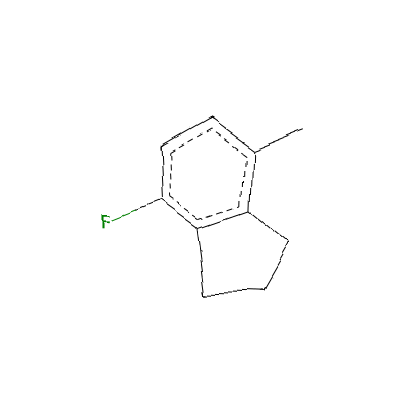 Cc1ccc(F)c2c1CCC2